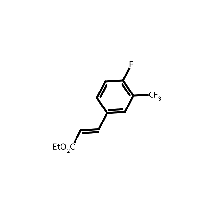 CCOC(=O)C=Cc1ccc(F)c(C(F)(F)F)c1